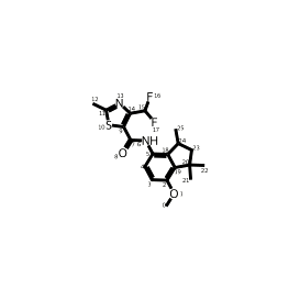 COc1ccc(NC(=O)c2sc(C)nc2C(F)F)c2c1C(C)(C)CC2C